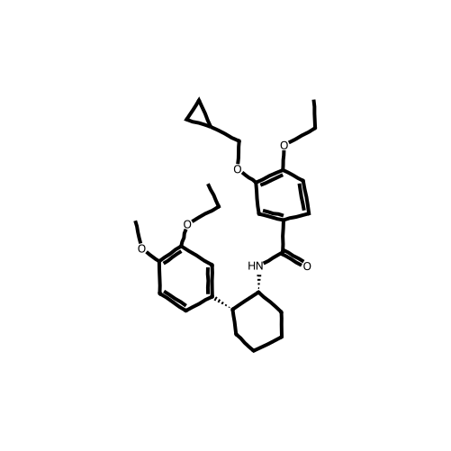 CCOc1cc([C@H]2CCCC[C@H]2NC(=O)c2ccc(OCC)c(OCC3CC3)c2)ccc1OC